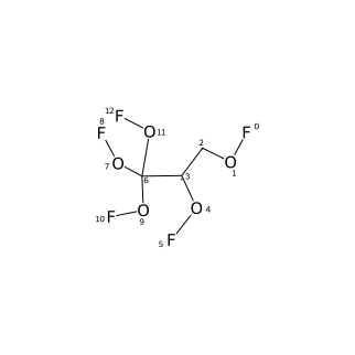 FOC[C](OF)C(OF)(OF)OF